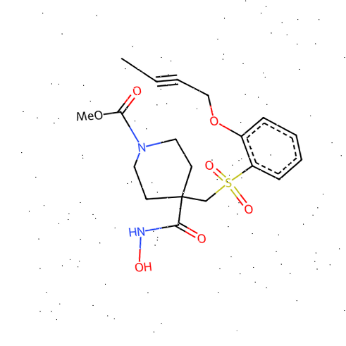 CC#CCOc1ccccc1S(=O)(=O)CC1(C(=O)NO)CCN(C(=O)OC)CC1